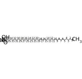 CCCCCCCCCCCCCCCCCCCCCCCCCCCCCCCCCCCCCC(=O)N(N)O